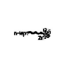 CCCCCCCCCCCCSP([O-])([O-])=S.[Zn+2]